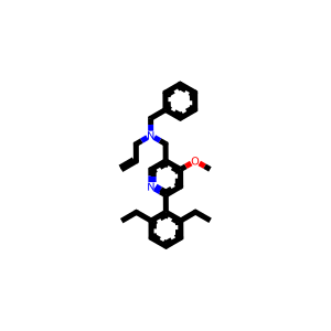 C=CCN(Cc1ccccc1)Cc1cnc(-c2c(CC)cccc2CC)cc1OC